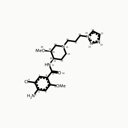 COc1cc(N)c(Cl)cc1C(=O)N[C@@H]1CCN(CCCn2ccnn2)C[C@@H]1OC